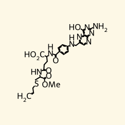 C=CCSCC(NC(=O)CCC(NC(=O)c1ccc(NCc2cnc3nc(N)nc(O)c3n2)cc1)C(=O)O)C(=O)OC